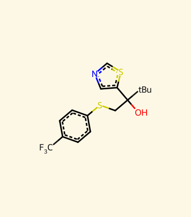 CC(C)(C)C(O)(CSc1ccc(C(F)(F)F)cc1)c1cncs1